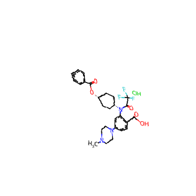 CN1CCN(c2ccc(C(=O)O)c(N(C(=O)C(F)(F)F)[C@H]3CC[C@@H](OC(=O)c4ccccc4)CC3)c2)CC1.Cl